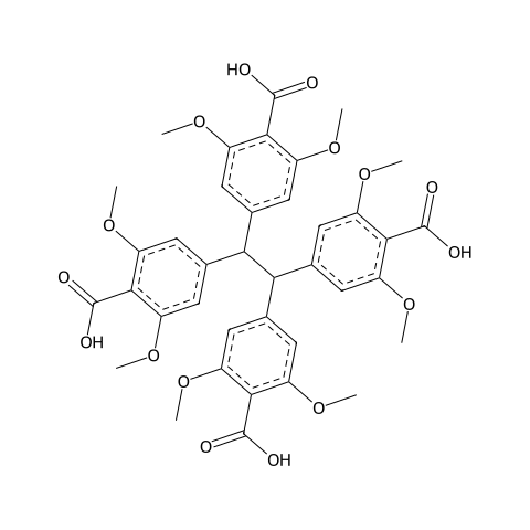 COc1cc(C(c2cc(OC)c(C(=O)O)c(OC)c2)C(c2cc(OC)c(C(=O)O)c(OC)c2)c2cc(OC)c(C(=O)O)c(OC)c2)cc(OC)c1C(=O)O